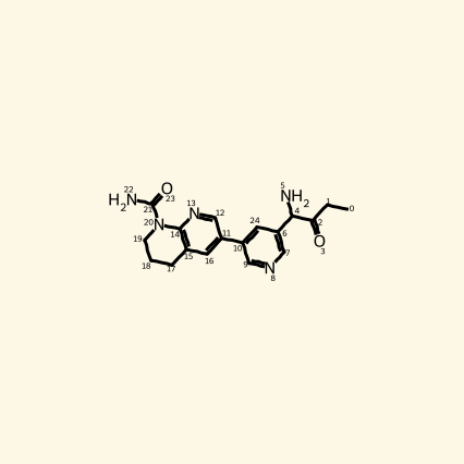 CCC(=O)C(N)c1cncc(-c2cnc3c(c2)CCCN3C(N)=O)c1